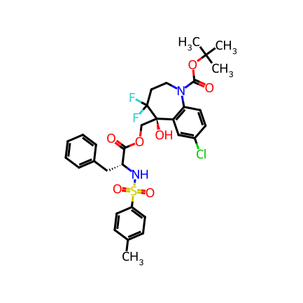 Cc1ccc(S(=O)(=O)N[C@H](Cc2ccccc2)C(=O)OC[C@@]2(O)c3cc(Cl)ccc3N(C(=O)OC(C)(C)C)CCC2(F)F)cc1